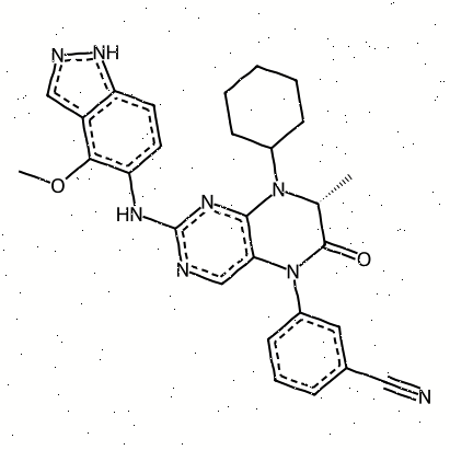 COc1c(Nc2ncc3c(n2)N(C2CCCCC2)[C@H](C)C(=O)N3c2cccc(C#N)c2)ccc2[nH]ncc12